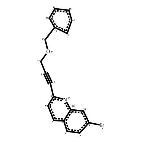 Brc1ccc2ccc(C#CCOCc3ccccc3)nc2c1